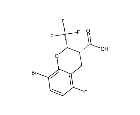 O=C(O)[C@@H]1Cc2c(F)ccc(Br)c2O[C@@H]1C(F)(F)F